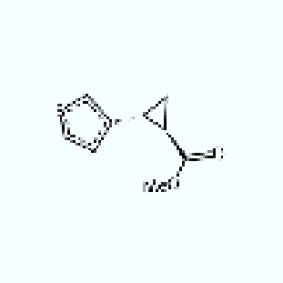 COC(=O)[C@@H]1C[C@H]1c1ccsc1